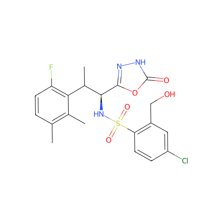 Cc1ccc(F)c(C(C)[C@H](NS(=O)(=O)c2ccc(Cl)cc2CO)c2n[nH]c(=O)o2)c1C